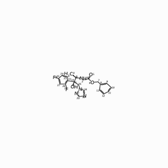 C[C@@H](NCC(=O)OCc1ccccc1)[C@](O)(Cn1cncn1)c1ccc(F)cc1F